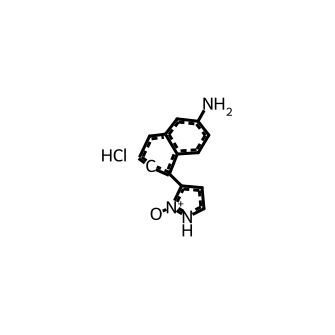 Cl.Nc1ccc2c(-c3cc[nH][n+]3[O-])cccc2c1